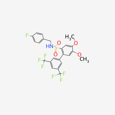 COc1cc(-c2cc(C(F)(F)F)cc(C(F)(F)F)c2)c(S(=O)(=O)NCc2ccc(F)cc2)cc1OC